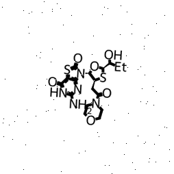 CCC(O)[C@@H]1O[C@@H](n2c(=O)sc3c(=O)[nH]c(N)nc32)[C@H](CC(=O)N2CCOCC2)S1